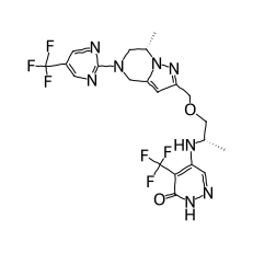 C[C@@H](COCc1cc2n(n1)[C@@H](C)CN(c1ncc(C(F)(F)F)cn1)C2)Nc1cn[nH]c(=O)c1C(F)(F)F